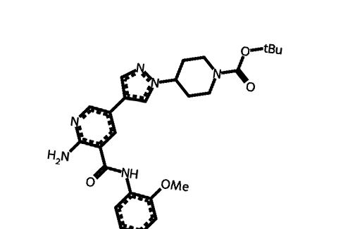 COc1ccccc1NC(=O)c1cc(-c2cnn(C3CCN(C(=O)OC(C)(C)C)CC3)c2)cnc1N